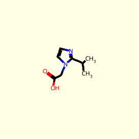 CC(C)c1nccn1CC(=O)O